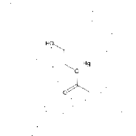 CC(=O)OCCO.[Hg]